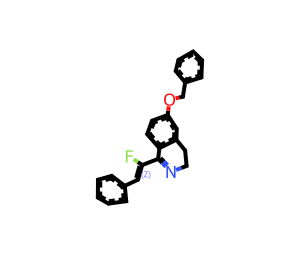 F/C(=C\c1ccccc1)C1=NCCc2cc(OCc3ccccc3)ccc21